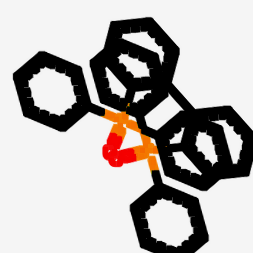 O=P(c1ccccc1)(c1ccccc1)c1ccccc1-c1ccccc1P(=O)(c1ccccc1)c1ccccc1